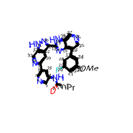 CCCC(=O)Nc1cncc(-c2cc3c(-c4nc5c(-c6cc(F)cc(OC)c6)cncc5[nH]4)n[nH]c3cn2)c1